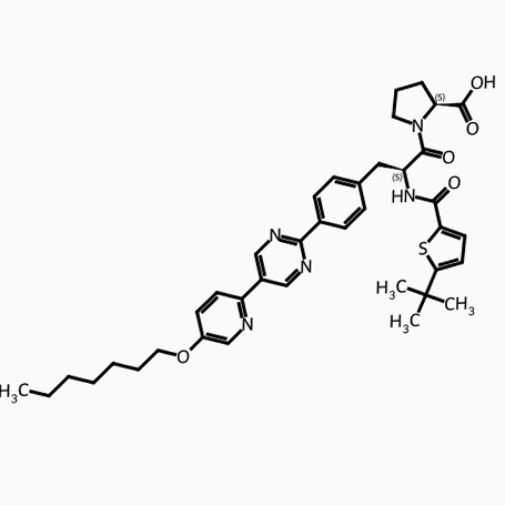 CCCCCCCOc1ccc(-c2cnc(-c3ccc(C[C@H](NC(=O)c4ccc(C(C)(C)C)s4)C(=O)N4CCC[C@H]4C(=O)O)cc3)nc2)nc1